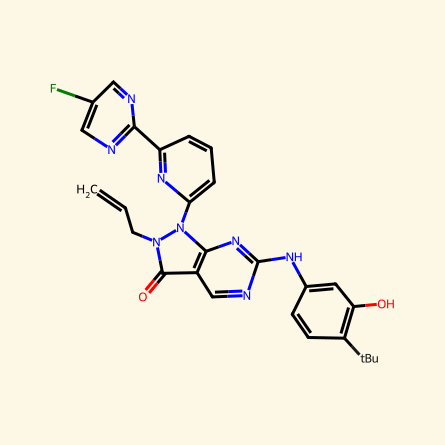 C=CCn1c(=O)c2cnc(Nc3ccc(C(C)(C)C)c(O)c3)nc2n1-c1cccc(-c2ncc(F)cn2)n1